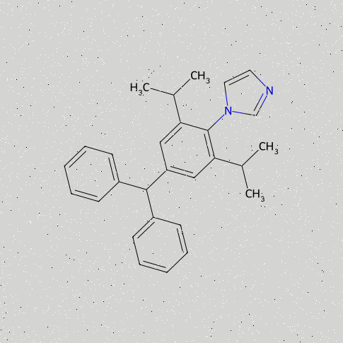 CC(C)c1cc(C(c2ccccc2)c2ccccc2)cc(C(C)C)c1-n1ccnc1